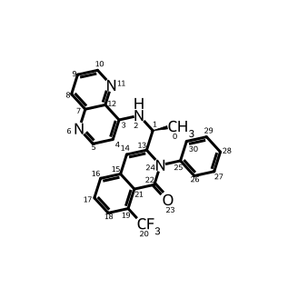 C[C@H](Nc1ccnc2cccnc12)c1cc2cccc(C(F)(F)F)c2c(=O)n1-c1ccccc1